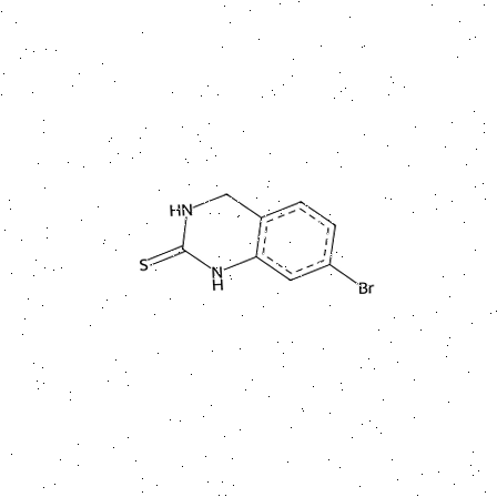 S=C1NCc2ccc(Br)cc2N1